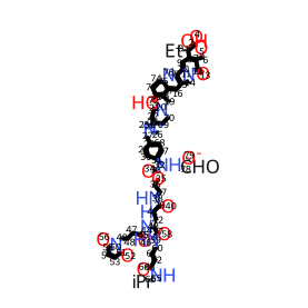 CC[C@@]1(O)C(=O)OCc2c1cc1n(c2=O)Cc2cc3c(CN4CCC([N+](C)(C)Cc5ccc(NC(=O)OCCNC(=O)CC[C@H](NC(=O)CCCN6C(=O)C=CC6=O)C(=O)NCCCC(=O)NC(C)C)cc5)CC4)c(O)ccc3nc2-1.O=C[O-]